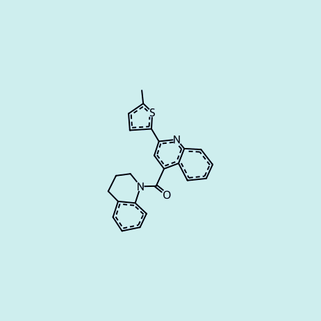 Cc1ccc(-c2cc(C(=O)N3CCCc4ccccc43)c3ccccc3n2)s1